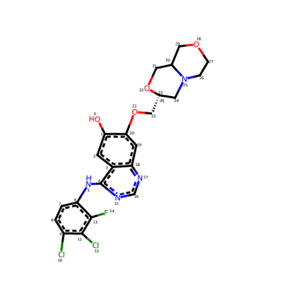 Oc1cc2c(Nc3ccc(Cl)c(Cl)c3F)ncnc2cc1OC[C@H]1CN2CCOCC2CO1